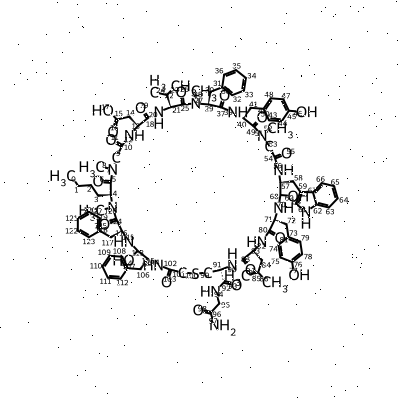 CCCC[C@H]1C(=O)N(C)CC(=O)N[C@@H](CC(=O)O)C(=O)N[C@@H](C(C)C)C(=O)N(C)[C@@H](Cc2ccccc2)C(=O)N[C@@H](Cc2ccc(O)cc2)C(=O)N(C)CC(=O)N[C@@H](Cc2c[nH]c3ccccc23)C(O)N[C@@H](Cc2ccc(O)cc2)C(=O)N[C@@H](CC(C)C)C(=O)N[C@H](C(=O)NCC(N)=O)CSCC(=O)N[C@@H](Cc2ccccc2)C(O)N[C@@H](Cc2ccccc2)C(=O)N1C